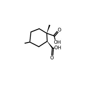 CC1CC[C@](C)(C(=O)O)[C@@H](C(=O)O)C1